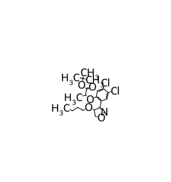 CCCCOC1CON=C1c1cc(Cl)c(Cl)cc1OC(C)C(=O)OC(C)(C)C